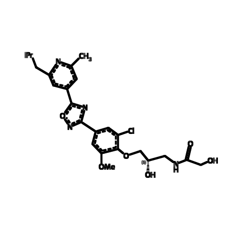 COc1cc(-c2noc(-c3cc(C)nc(CC(C)C)c3)n2)cc(Cl)c1OC[C@@H](O)CNC(=O)CO